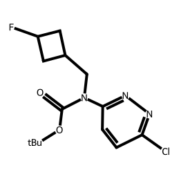 CC(C)(C)OC(=O)N(CC1CC(F)C1)c1ccc(Cl)nn1